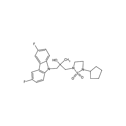 CC(O)(CN1CCN(C2CCCC2)S1(=O)=O)Cn1c2ccc(F)cc2c2cc(F)ccc21